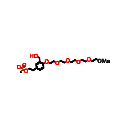 COCCOCCOCCOCCOCCOc1ccc(CCOS(C)(=O)=O)cc1CO